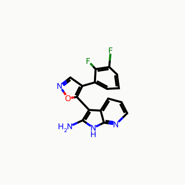 Nc1[nH]c2ncccc2c1-c1oncc1-c1cccc(F)c1F